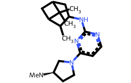 CN[C@@H]1CCN(c2ccnc(NC3CC4CC(C3C)C4(C)C)n2)C1